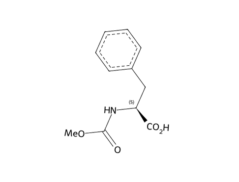 COC(=O)N[C@@H](Cc1ccccc1)C(=O)O